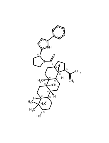 C=C(C)[C@@H]1CC[C@]2(C(=O)N3CCC[C@H]3c3ncc(-c4ccncc4)[nH]3)CC[C@]3(C)[C@H](CC[C@@H]4[C@@]5(C)CC[C@H](O)C(C)(C)[C@@H]5CC[C@]43C)[C@@H]12